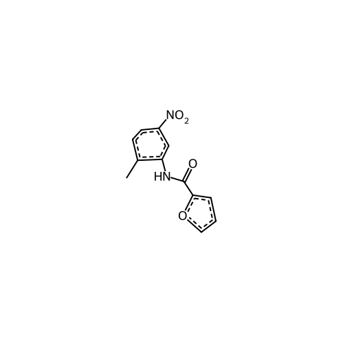 Cc1ccc([N+](=O)[O-])cc1NC(=O)c1ccco1